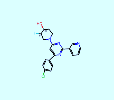 O[C@H]1CCN(c2cc(-c3ccc(Cl)cc3)nc(-c3cccnc3)n2)C[C@H]1F